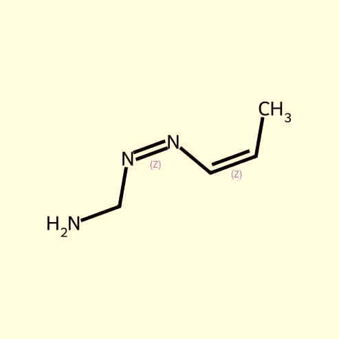 C/C=C\N=N/CN